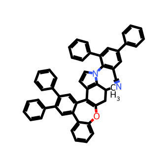 CC1CC2=C(c3cc(-c4ccccc4)c(-c4ccccc4)cc3-c3ccccc3O2)c2ccn(-c3c(C#N)cc(-c4ccccc4)cc3-c3ccccc3)c21